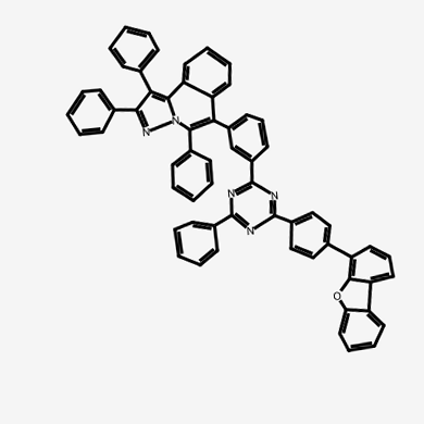 c1ccc(-c2nc(-c3ccc(-c4cccc5c4oc4ccccc45)cc3)nc(-c3cccc(-c4c(-c5ccccc5)n5nc(-c6ccccc6)c(-c6ccccc6)c5c5ccccc45)c3)n2)cc1